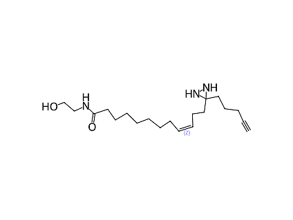 C#CCCCC1(CC/C=C\CCCCCCCC(=O)NCCO)NN1